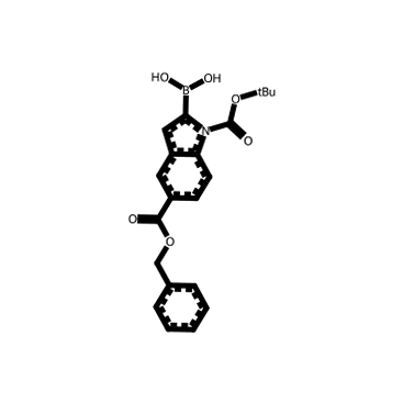 CC(C)(C)OC(=O)n1c(B(O)O)cc2cc(C(=O)OCc3ccccc3)ccc21